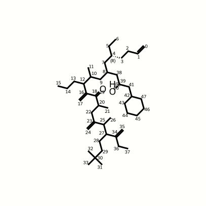 C=CCC[C@@H](CC)CC(CC(C)C(CCC)C(=C)C(=O)C(C)CC(=C)C(C)C(CCC(C)(C)C)C(=C)CC)C[C@H](O)CC1CCCCC1